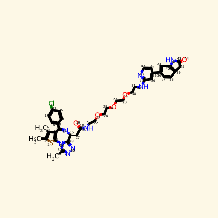 Cc1sc2c(c1C)C(c1ccc(Cl)cc1)=N[C@@H](CC(=O)NCCOCCOCCOCCNc1cc(-c3ccc4c(c3)NC(=O)C4)ccn1)c1nnc(C)n1-2